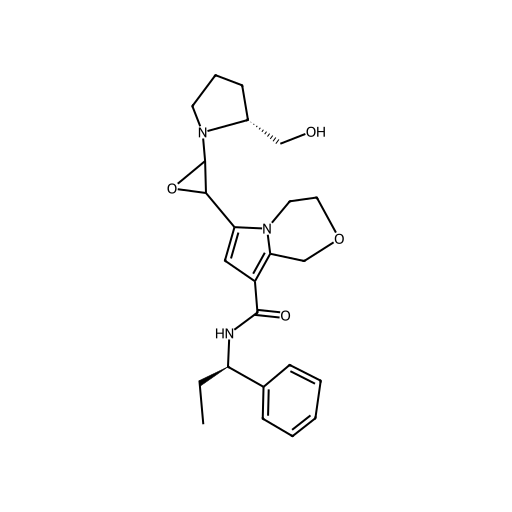 CC[C@@H](NC(=O)c1cc(C2OC2N2CCC[C@@H]2CO)n2c1COCC2)c1ccccc1